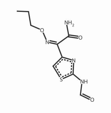 CCCON=C(C(N)=O)c1csc(NC=O)n1